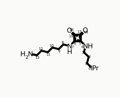 CC(C)CCCNc1c(NCCCCCCN)c(=O)c1=O